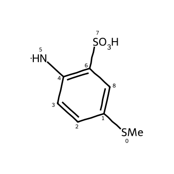 CSc1ccc([NH])c(S(=O)(=O)O)c1